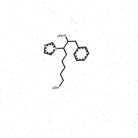 CCCCCCCCCCCCCCCC(C(CCCCC)Cc1ccccc1)n1ccnc1